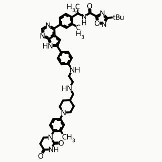 Cc1cc(-c2ncnc3[nH]c(-c4ccc(NCCNCC5CCN(c6ccc(N7CCC(=O)NC7=O)c(C)c6)CC5)cc4)cc23)ccc1[C@@H](C)NC(=O)c1nc(C(C)(C)C)no1